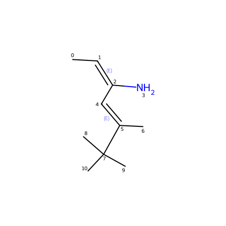 C/C=C(N)\C=C(/C)C(C)(C)C